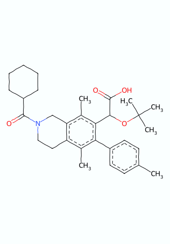 Cc1ccc(-c2c(C)c3c(c(C)c2C(OC(C)(C)C)C(=O)O)CN(C(=O)C2CCCCC2)CC3)cc1